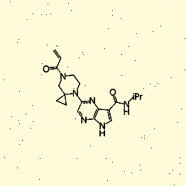 C=CC(=O)N1CCN(c2cnc3[nH]cc(C(=O)NC(C)C)c3n2)C2(CC2)C1